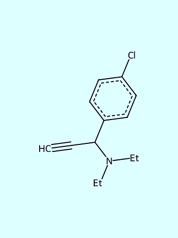 C#CC(c1ccc(Cl)cc1)N(CC)CC